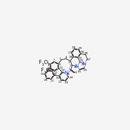 C=C1C2C(CCc3cc(C(F)(F)F)c(C(F)(F)F)cc3-c3c(-c4ccccc4)ccc[n+]31)c1cccc3c1C1N(C=CN21)CC3